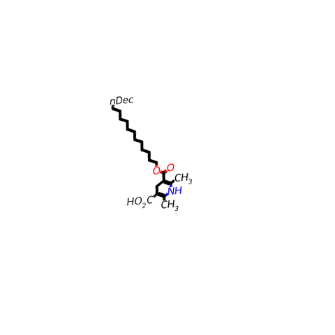 CCCCCCCCCCCCCCCCCCCCCCOC(=O)C1=C(C)NC(C)=C(C(=O)O)C1